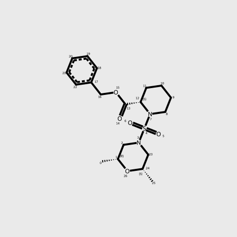 C[C@@H]1CN(S(=O)(=O)N2CCCC[C@H]2C(=O)OCc2ccccc2)C[C@H](C)O1